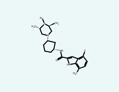 CC(=O)N1[C@@H](C)CN([C@H]2CCC[C@@H](NC(=O)c3cc4c(F)ccc(C)c4[nH]3)C2)C[C@@H]1C